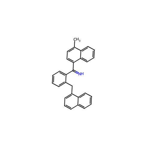 Cc1ccc(C(=N)c2ccccc2Cc2cccc3ccccc23)c2ccccc12